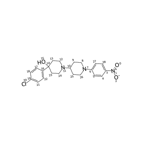 O=[N+]([O-])c1ccc(N2CCC(N3CCC(O)(c4ccc(Cl)cc4)CC3)CC2)cc1